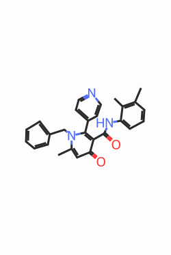 Cc1cccc(NC(=O)c2c(-c3ccncc3)n(Cc3ccccc3)c(C)cc2=O)c1C